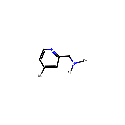 CCc1ccnc(CN(CC)CC)c1